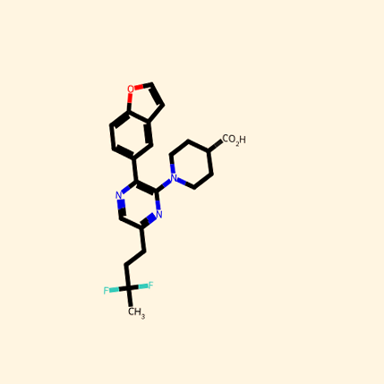 CC(F)(F)CCc1cnc(-c2ccc3occc3c2)c(N2CCC(C(=O)O)CC2)n1